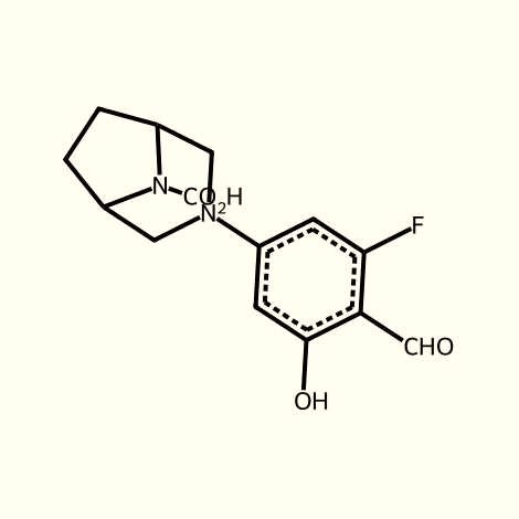 O=Cc1c(O)cc(N2CC3CCC(C2)N3C(=O)O)cc1F